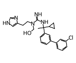 CC(NC(=N)N(CO)CCc1c[nH]cn1)(c1cccc(-c2cccc(Cl)c2)c1)C1CC1